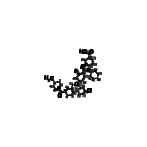 CC1CCN(C(=O)c2ccc(-c3ccc(Cl)cc3)c(COc3ccc(-c4nc5cc(C(=O)O)ccc5n4C4CCCCC4)c(F)c3)c2)CC1